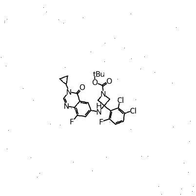 CC(C)(C)OC(=O)N1CC(Nc2cc(F)c3ncn(C4CC4)c(=O)c3c2)(c2c(F)ccc(Cl)c2Cl)C1